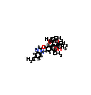 CCc1ccc(Oc2cnc3cc(C)ccc3n2)cc1C1=C(O)C(C)(C)OC(C)(C)C1=O